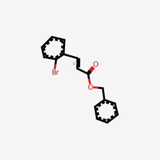 O=C(/C=C/c1ccccc1Br)OCc1ccccc1